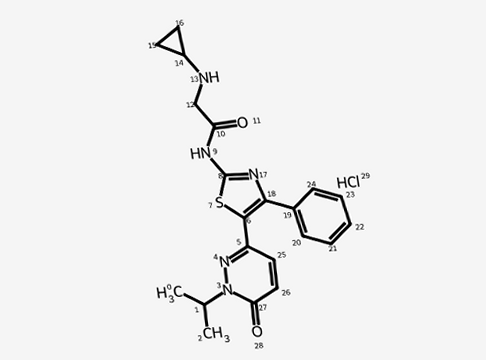 CC(C)n1nc(-c2sc(NC(=O)CNC3CC3)nc2-c2ccccc2)ccc1=O.Cl